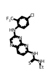 CCNC(=S)Nc1ccc2ncc(Nc3ccc(Cl)cc3C(F)(F)F)nc2n1